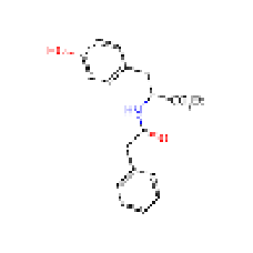 CCOC(=O)C(Cc1ccc(O)cc1)NC(=O)Cc1ccccc1